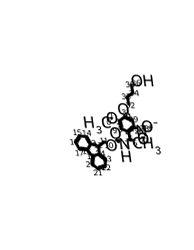 COc1cc(C(C)NC(=O)OCC2c3ccccc3-c3ccccc32)c([N+](=O)[O-])cc1OCCCCO